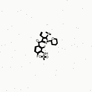 C=Cc1c(C(=O)c2ccc(F)c(NS(C)(=O)=O)c2F)nn(C2CCCCO2)c1N(C)C